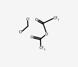 ClCCl.O=C(OC(=O)C(F)(F)F)C(F)(F)F